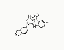 Cc1ccc2c(c1)C(=O)[C@]1(O)CCN(c3ccc4cscc4c3)C1=N2